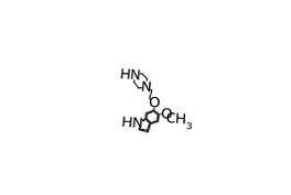 COc1cc2cc[nH]c2cc1OCCN1CCNCC1